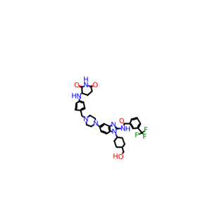 O=C1CCC(Nc2ccc(CN3CCN(c4ccc5c(c4)nc(NC(=O)c4cccc(C(F)(F)F)c4)n5C4CCC(CO)CC4)CC3)cc2)C(=O)N1